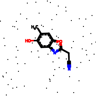 Cc1cc2oc(CC#N)nc2cc1O